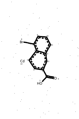 O=C(O)c1ccc2c(Br)cccc2c1.[Cd]